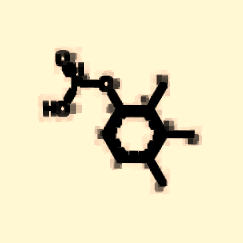 Cc1ccc(O[PH](=O)O)c(C)c1C